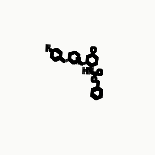 O=C1CC[C@@H](NC(=O)OCc2ccccc2)[C@H](CN2CCC[C@@H](Cc3ccc(F)cc3)C2)C1